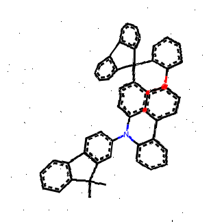 CC1(C)c2ccccc2-c2ccc(N(c3ccc4c(c3)Oc3ccccc3C43c4ccccc4-c4ccccc43)c3ccccc3-c3ccccc3)cc21